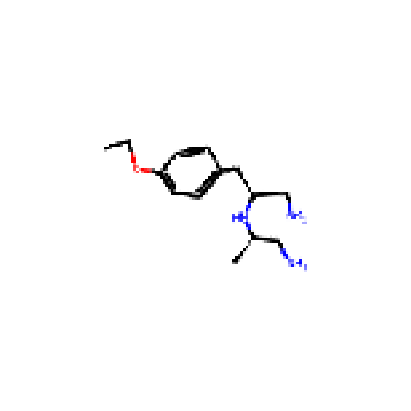 CCOc1ccc(C[C@@H](CN)N[C@H](C)CN)cc1